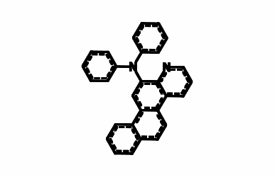 c1ccc(N(c2ccccc2)c2cc3c4ccccc4ccc3c3cccnc23)cc1